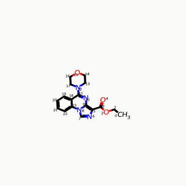 CCOC(=O)c1ncn2c1nc(N1CCOCC1)c1ccccc12